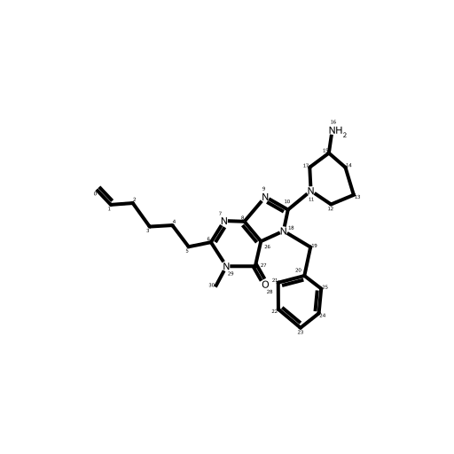 C=CCCCCc1nc2nc(N3CCCC(N)C3)n(Cc3ccccc3)c2c(=O)n1C